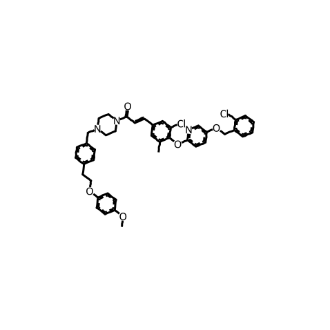 COc1ccc(OCCc2ccc(CN3CCN(C(=O)C=Cc4cc(C)c(Oc5ccc(OCc6ccccc6Cl)cn5)c(Cl)c4)CC3)cc2)cc1